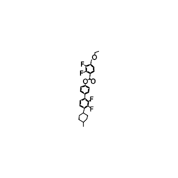 CCOCc1ccc(C(=O)Oc2ccc(-c3ccc(C4CCC(C)CC4)c(F)c3F)cc2)c(F)c1F